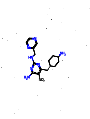 Nc1nc(NCc2cnccn2)nc(C[C@H]2CC[C@H](N)CC2)c1[N+](=O)[O-]